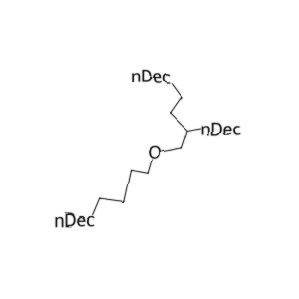 CCCCCCCCCCCCCCOCC(CCCCCCCCCC)CCCCCCCCCCCC